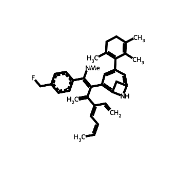 C=C/C(=C\C=C/C)C(=C)/C(C1=C2CC(=CC(C3=C(C)CCC(C)=C3C)=C1)N2)=C(/NC)c1ccc(CF)cc1